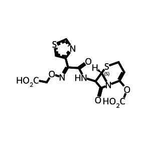 O=C(O)CON=C(C(=O)NC1C(=O)N2C(OC(=O)O)=CCS[C@@H]12)c1cscn1